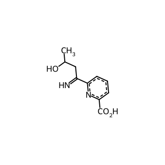 CC(O)CC(=N)c1cccc(C(=O)O)n1